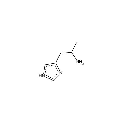 [CH2]C(N)Cc1c[nH]cn1